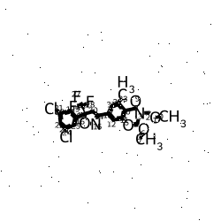 COCN(C(=O)OC)C(=O)c1ccc(C2=NO[C@@](c3cc(Cl)cc(Cl)c3)(C(F)(F)F)C2)cc1C